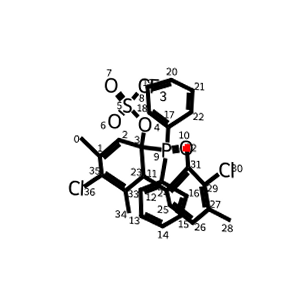 CC1=CC(OS(=O)(=O)C(F)(F)F)(P(=O)(c2ccccc2)c2ccccc2)C(c2ccc(C)c(Cl)c2C)C(C)=C1Cl